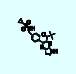 CC(C)(C)C(=O)c1nc2[nH]ccc2nc1-c1ccc(CNS(=O)(=O)C2CC2)cc1